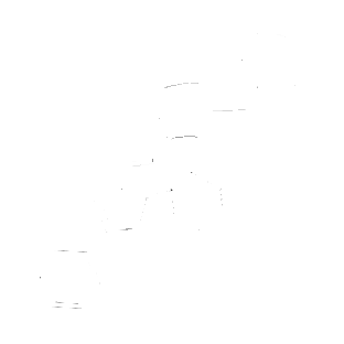 O=C(N1CCCC(Cc2ccccc2)C1)C1(c2cnc(-c3ccccc3)s2)CCOCC1